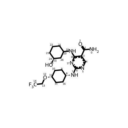 NC(=O)c1cnc(N[C@H]2CC[C@@H](OCC(F)(F)F)CC2)nc1NC1CCC[C@H](O)C1